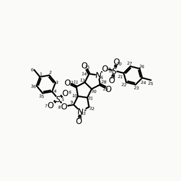 Cc1ccc(S(=O)(=O)OC2C3C(=O)C4C(=O)N(OS(=O)(=O)c5ccc(C)cc5)C(=O)C4C3C[N+]2=O)cc1